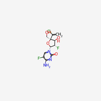 C=C(Cl)[C@]1(CO)O[C@@H](n2cc(F)c(N)nc2=O)[C@@H](F)[C@@H]1O